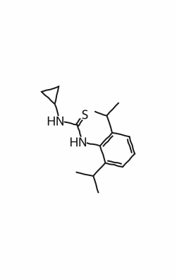 CC(C)c1cccc(C(C)C)c1NC(=S)NC1CC1